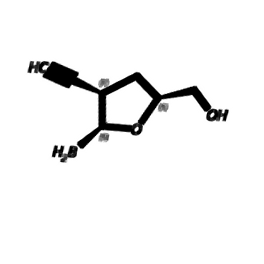 B[C@@H]1O[C@H](CO)C[C@@H]1C#C